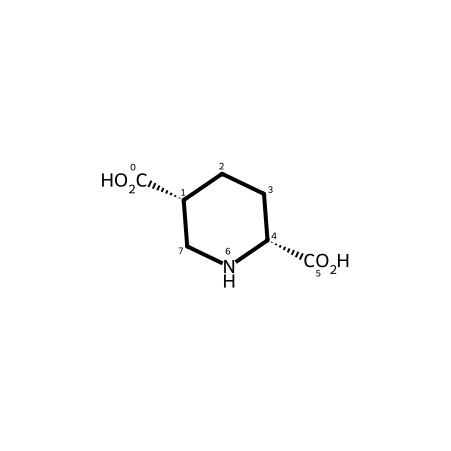 O=C(O)[C@@H]1CC[C@H](C(=O)O)NC1